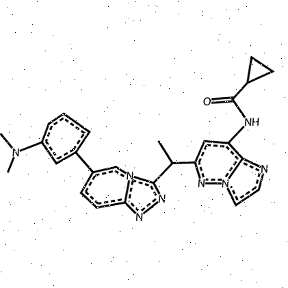 CC(c1cc(NC(=O)C2CC2)c2nccn2n1)c1nnc2ccc(-c3cccc(N(C)C)c3)cn12